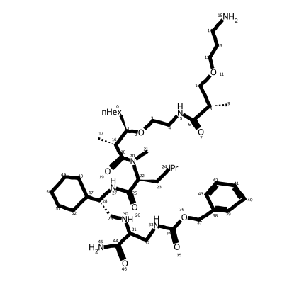 CCCCCC[C@@H](OCCNC(=O)[C@@H](C)COCCCN)[C@@H](C)C(=O)N(C)[C@@H](CC(C)C)C(=O)N[C@H](CNC(CNC(=O)OCc1ccccc1)C(N)=O)C1CCCCC1